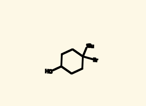 CC(C)(C)C1(Br)CCC(O)CC1